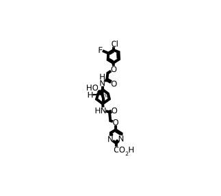 O=C(COc1cnc(C(=O)O)nc1)NC12CCC(NC(=O)COc3ccc(Cl)c(F)c3)(CC1)[C@@H](O)C2